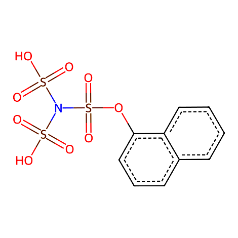 O=S(=O)(O)N(S(=O)(=O)O)S(=O)(=O)Oc1cccc2ccccc12